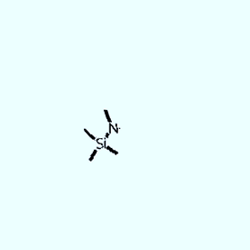 C[N][Si](C)(C)C